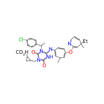 CCC1(C)C=CC=NC(OC2=CC(C)C=C(/N=c3\[nH]c(=O)n(CC4CC4C(=O)O)c(=O)n3C(C)c3ccc(Cl)cc3)C=C2)=C1